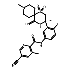 Cc1cc(C#N)cnc1C(=O)Nc1ccc(F)c([C@]2(C)CS(=O)(=O)C3(CCN(C)CC3)C(=N)N2)c1